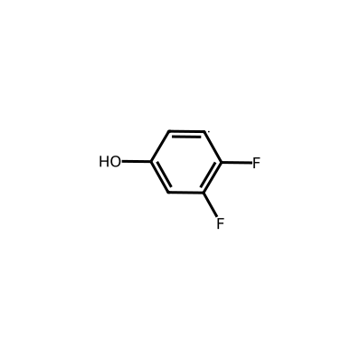 Oc1c[c]c(F)c(F)c1